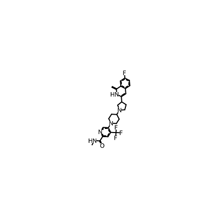 C=C1NC(C2CCN(C3CCN(c4cnc(C(=O)NC)cc4C(F)(F)F)CC3)C2)=Cc2ccc(F)cc21